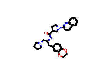 O=C(NC(Cc1ccc2c(c1)OCCO2)CN1CCCC1)C1CCN(c2ccc3ccccc3n2)C1